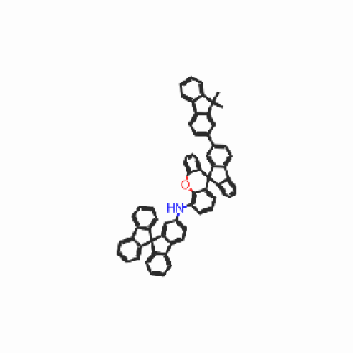 CC1(C)c2ccccc2-c2ccc(-c3ccc4c(c3)C3(c5ccccc5Oc5c(Nc6ccc7c(c6)C6(c8ccccc8-c8ccccc86)c6ccccc6-7)cccc53)c3ccccc3-4)cc21